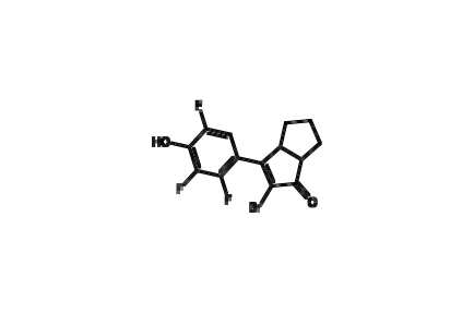 O=C1C(Br)=C(c2cc(F)c(O)c(F)c2F)C2CCCC12